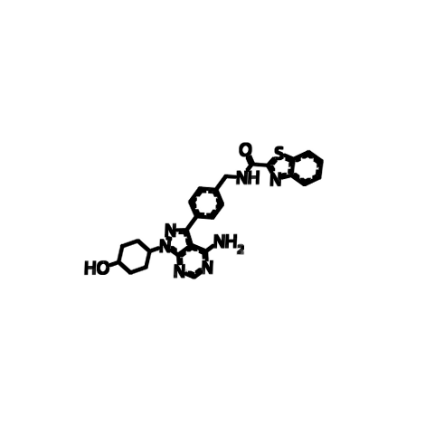 Nc1ncnc2c1c(-c1ccc(CNC(=O)c3nc4ccccc4s3)cc1)nn2C1CCC(O)CC1